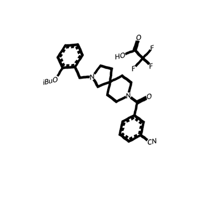 CC(C)COc1ccccc1CN1CCC2(CCN(C(=O)c3cccc(C#N)c3)CC2)C1.O=C(O)C(F)(F)F